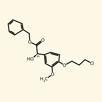 COc1cc([C@@H](O)C(=O)OCc2ccccc2)ccc1OCCCCl